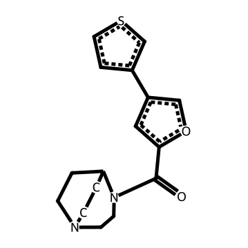 O=C(c1cc(-c2ccsc2)co1)N1CCN2CCC1CC2